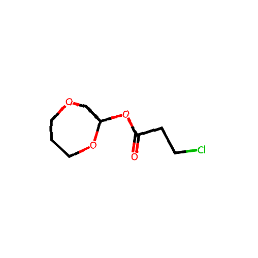 O=C(CCCl)OC1COCCCO1